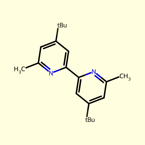 Cc1cc(C(C)(C)C)cc(-c2cc(C(C)(C)C)cc(C)n2)n1